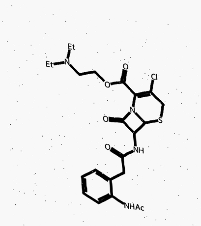 CCN(CC)CCOC(=O)C1=C(Cl)CSC2C(NC(=O)Cc3ccccc3NC(C)=O)C(=O)N12